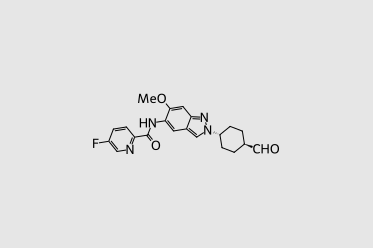 COc1cc2nn([C@H]3CC[C@H](C=O)CC3)cc2cc1NC(=O)c1ccc(F)cn1